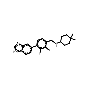 CC1(C)CCC(NCc2ccc(-c3ccc4[nH]cnc4c3)c(F)c2F)CC1